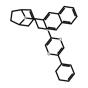 C1=CCCC(C2=COC(OCCN3C4C=C(c5ccc6ccccc6c5)CC3CC4)=CO2)=C1